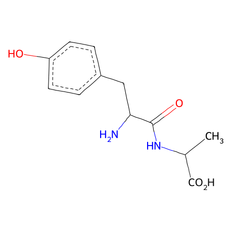 CC(NC(=O)C(N)Cc1ccc(O)cc1)C(=O)O